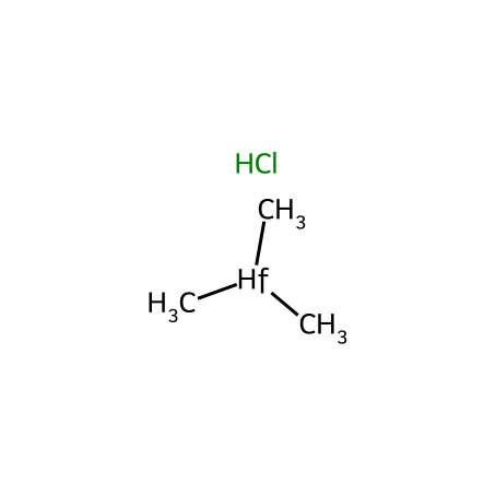 Cl.[CH3][Hf]([CH3])[CH3]